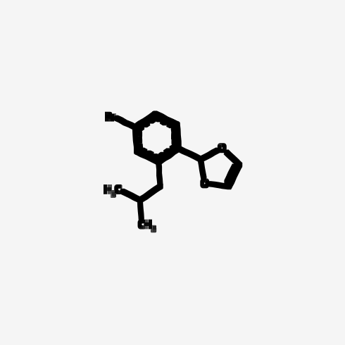 CC(C)Cc1cc(Br)ccc1C1OC=CO1